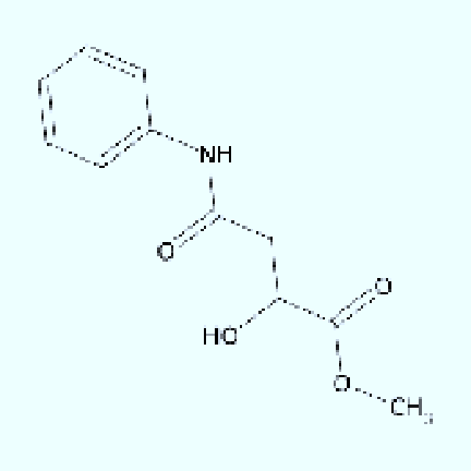 COC(=O)C(O)CC(=O)Nc1ccccc1